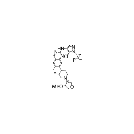 COC1COC[C@H]1N1CCC(c2cc3nc(Nc4cnn(C5CC5(F)F)c4Cl)ncc3cc2C)C(F)C1